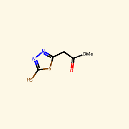 COC(=O)Cc1nnc(S)s1